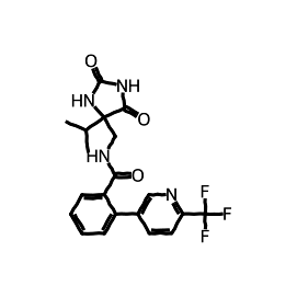 CC(C)C1(CNC(=O)c2ccccc2-c2ccc(C(F)(F)F)nc2)NC(=O)NC1=O